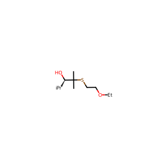 CCOCCSC(C)(C)[C@H](O)C(C)C